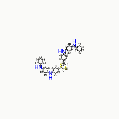 C1=C(c2ccc(Nc3ccc(Nc4ccccc4)cc3)cc2)SC(c2ccc(Nc3ccc(Nc4ccccc4)cc3)cc2)=CS1